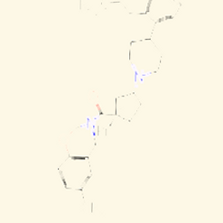 CC(C)[C@]1(C(=O)N2COc3ccc(C(F)(F)F)cc3C2)CC[C@@H](N2CCC(c3ccccc3CCC(=O)O)CC2)C1